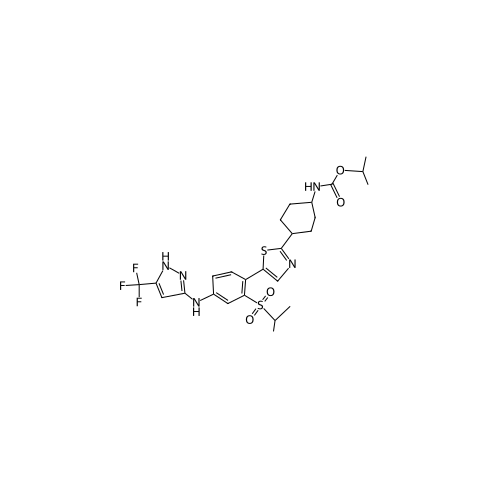 CC(C)OC(=O)NC1CCC(c2ncc(-c3ccc(Nc4cc(C(F)(F)F)[nH]n4)cc3S(=O)(=O)C(C)C)s2)CC1